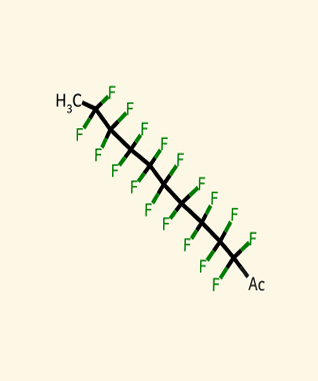 CC(=O)C(F)(F)C(F)(F)C(F)(F)C(F)(F)C(F)(F)C(F)(F)C(F)(F)C(F)(F)C(C)(F)F